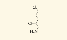 NCC(Cl)CCCCl